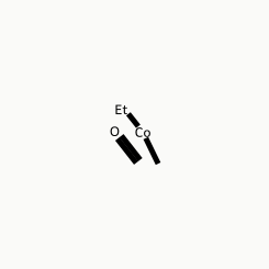 C=O.C[CH2][Co][CH3]